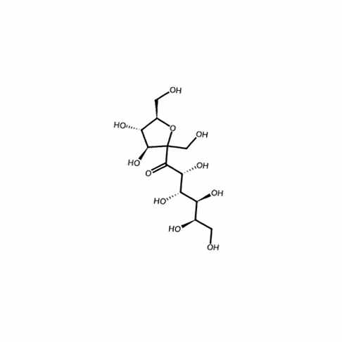 O=C([C@H](O)[C@@H](O)[C@@H](O)[C@H](O)CO)C1(CO)O[C@H](CO)[C@@H](O)[C@@H]1O